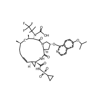 CC(C)Oc1ccc2c(O[C@@H]3C[C@H]4C(=O)N[C@]5(C(=O)NS(=O)(=O)C6CC6)C[C@H]5C=CCC[C@@H](C)C[C@@H](C)[C@H](N(C(=O)O)C(C)(C)C(F)(F)F)C(=O)N4C3)nccc2c1